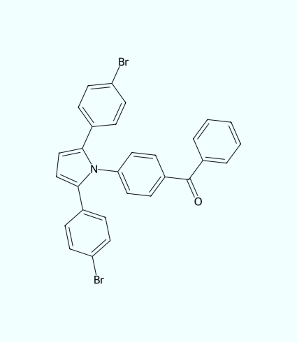 O=C(c1ccccc1)c1ccc(-n2c(-c3ccc(Br)cc3)ccc2-c2ccc(Br)cc2)cc1